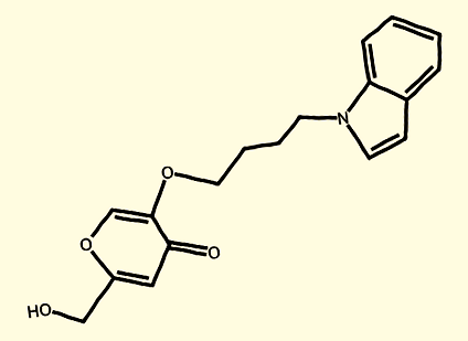 O=c1cc(CO)occ1OCCCCn1ccc2ccccc21